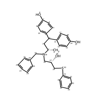 C[C@@H](CC(c1ccc(O)cc1)c1ccc(O)cc1)N(Cc1ccccc1)C[C@H](O)CSc1ccccc1